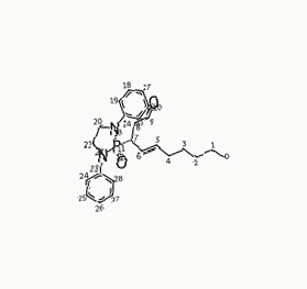 CCCCC/C=C/C(CC=O)P1(=O)N(c2ccccc2)CCN1c1ccccc1